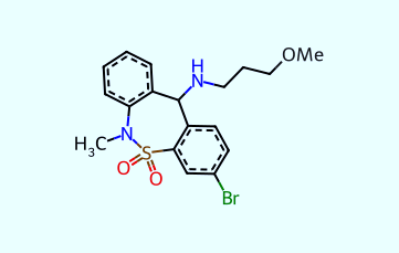 COCCCNC1c2ccccc2N(C)S(=O)(=O)c2cc(Br)ccc21